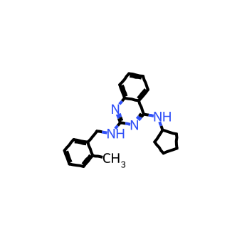 Cc1ccccc1CNc1nc(NC2CCCC2)c2ccccc2n1